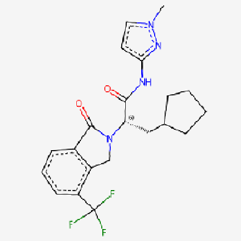 Cn1ccc(NC(=O)[C@H](CC2CCCC2)N2Cc3c(cccc3C(F)(F)F)C2=O)n1